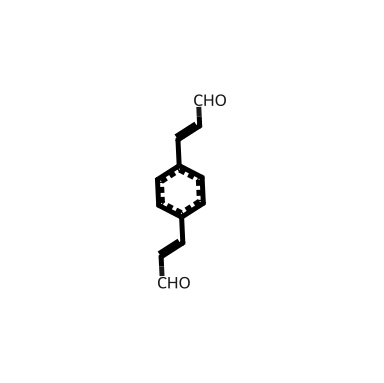 O=C/C=C/c1ccc(/C=C/C=O)cc1